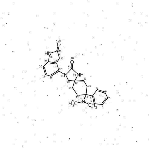 CN(C)[C@]1(c2ccccc2)CC[C@@]2(CC1)CN(c1cccc3c1CC(=O)N3)C(=O)N2